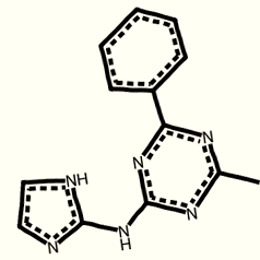 Ic1nc(Nc2ncc[nH]2)nc(-c2ccccc2)n1